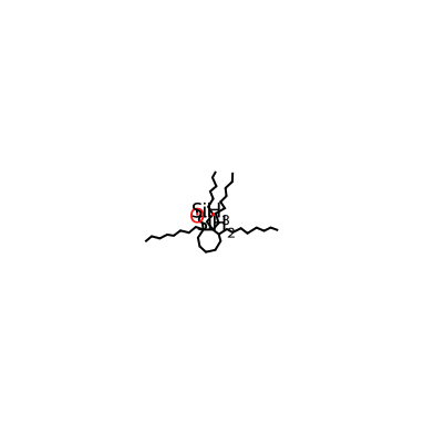 CCCCCCCCC1CCCCCC(CCCCCCCC)([SiH2]O[SiH3])C1(CCCCCCCC)CCCCCCCC